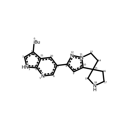 CCC(C)c1c[nH]c2ncc(-c3cc4n(n3)CCC43CCNC3)cc12